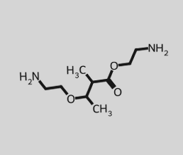 CC(OCCN)C(C)C(=O)OCCN